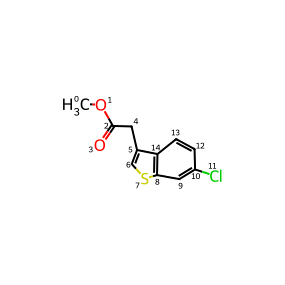 COC(=O)Cc1csc2cc(Cl)ccc12